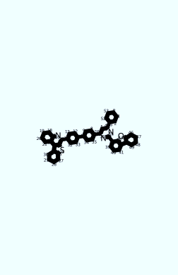 c1ccc(-c2cc(-c3ccc(-c4ccc(-c5nc6ccccc6c6c5sc5ccccc56)cc4)cc3)nc(-c3cccc4c3oc3ccccc34)n2)cc1